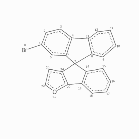 Brc1ccc2c(c1)C1(c3ccccc3-2)c2ccccc2-c2occc21